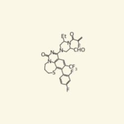 C=C(F)C(=O)N1C(C=O)CN(c2nc(=O)n3c4c(c(-c5ccc(F)cc5F)c(C(F)(F)F)cc24)SCCC3)CC1CC